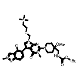 COC1(CNC(=O)OC(C)(C)C)CCN(c2nc3c(c(-c4ccc5nn(C)cc5c4Cl)cn3COCC[Si](C)(C)C)c(=O)n2C)CC1